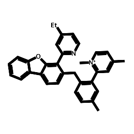 CCc1ccnc(-c2c(Cc3ccc(C)cc3-c3cc(C)cc[n+]3C)ccc3c2oc2ccccc23)c1